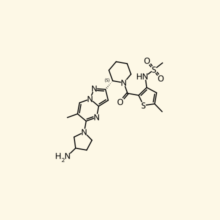 Cc1cc(NS(C)(=O)=O)c(C(=O)N2CCCC[C@H]2c2cc3nc(N4CCC(N)C4)c(C)cn3n2)s1